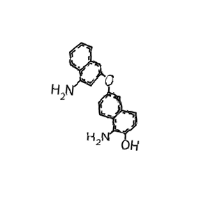 Nc1cc(Oc2ccc3c(N)c(O)ccc3c2)cc2ccccc12